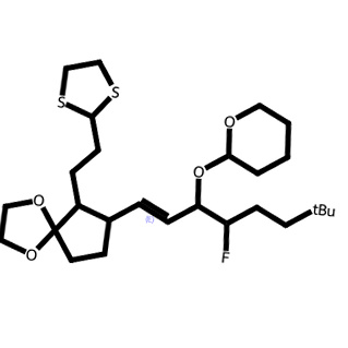 CC(C)(C)CCC(F)C(/C=C/C1CCC2(OCCO2)C1CCC1SCCS1)OC1CCCCO1